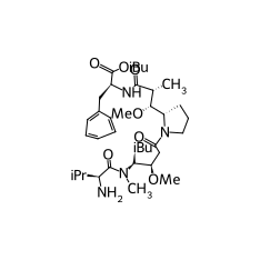 CC[C@H](C)[C@@H]([C@@H](CC(=O)N1CCC[C@H]1[C@H](OC)[C@@H](C)C(=O)N[C@@H](Cc1ccccc1)C(=O)OCC(C)C)OC)N(C)C(=O)[C@@H](N)C(C)C